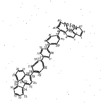 C1=Cc2ccc3c(-c4ccc(-c5ccc(-c6ccc(-c7ccc8c9c(cccc79)-c7ccccc7-8)cc6)cc5)cc4)ccnc3c2NC1